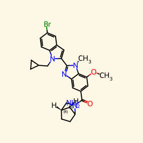 COc1cc(C(=O)N2C[C@H]3CCC2[C@H]3N)cc2nc(-c3cc4cc(Br)ccc4n3CC3CC3)n(C)c12